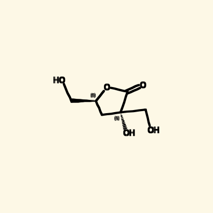 O=C1O[C@H](CO)C[C@]1(O)CO